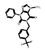 Cn1cnc2c1c(=O)n(Cc1cccc(C(F)(F)F)c1)c(=O)n2-c1ccccc1